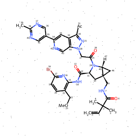 C=CC(C)(C)C(=O)NC[C@@]12C[C@@H](C(=O)Nc3nc(Br)ccc3COC)N(C(=O)Cn3nc(C(C)=O)c4cc(-c5cnc(C)nc5)ncc43)[C@@H]1C2